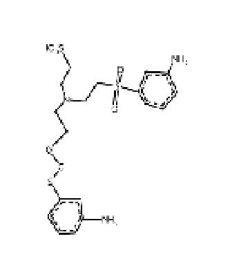 Nc1cccc(SOOCCN(CCS(=O)(=O)O)CCS(=O)(=O)c2cccc(N)c2)c1